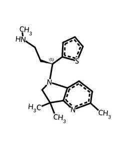 CNCC[C@@H](c1cccs1)N1CC(C)(C)c2nc(C)ccc21